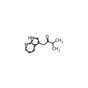 CC(C)C(=O)Cc1c[nH]c2ncccc12